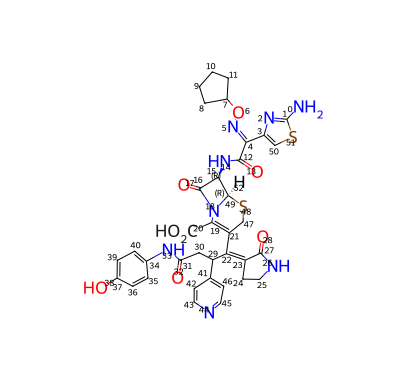 Nc1nc(C(=NOC2CCCC2)C(=O)N[C@@H]2C(=O)N3C(C(=O)O)=C(C(=C4CCNC4=O)C(CC(=O)Nc4ccc(O)cc4)c4ccncc4)CS[C@H]23)cs1